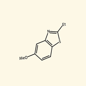 CCc1nc2cc(OC)ccc2s1